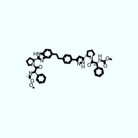 COO/C=N\[C@@H](C(=O)N1CCC[C@H]1c1nc2cc(CCc3ccc(-c4cc([C@@H]5CCCN5C(=O)[C@H](NC(=O)OC)c5ccccc5)[nH]n4)cc3)ccc2[nH]1)c1ccccc1